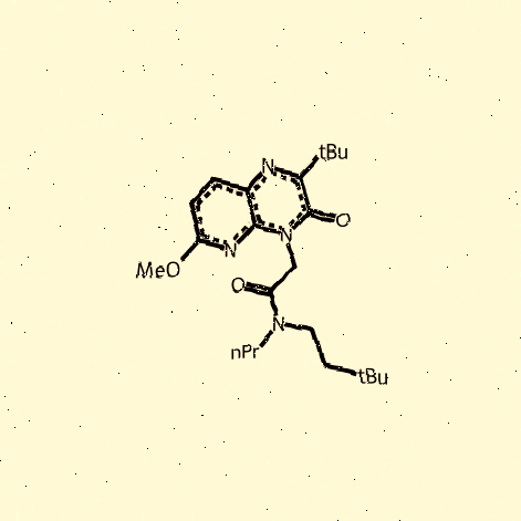 CCCN(CCC(C)(C)C)C(=O)Cn1c(=O)c(C(C)(C)C)nc2ccc(OC)nc21